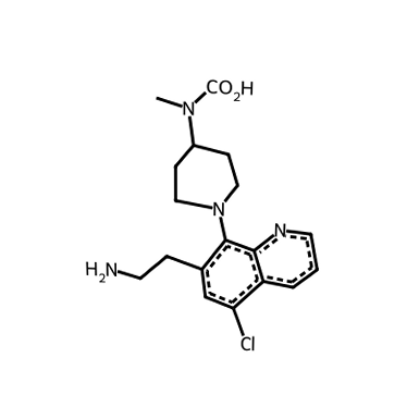 CN(C(=O)O)C1CCN(c2c(CCN)cc(Cl)c3cccnc23)CC1